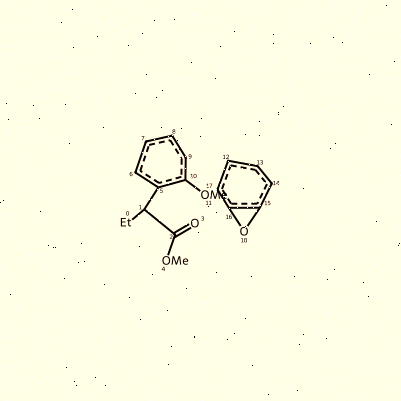 CCC(C(=O)OC)c1ccccc1OC.c1ccc2c(c1)O2